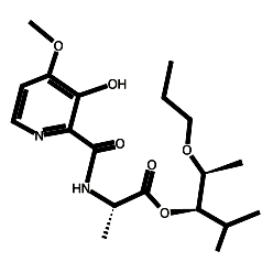 CCCO[C@@H](C)[C@H](OC(=O)[C@H](C)NC(=O)c1nccc(OC)c1O)C(C)C